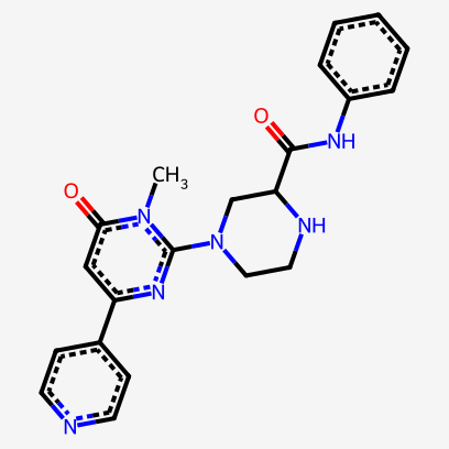 Cn1c(N2CCNC(C(=O)Nc3ccccc3)C2)nc(-c2ccncc2)cc1=O